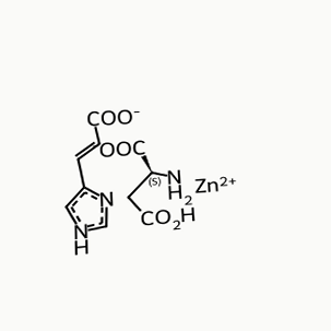 N[C@@H](CC(=O)O)C(=O)[O-].O=C([O-])C=Cc1c[nH]cn1.[Zn+2]